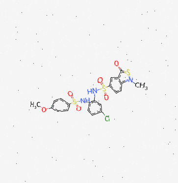 COc1ccc(S(=O)(=O)Nc2ccc(Cl)cc2NS(=O)(=O)c2ccc3c(c2)c(=O)sn3C)cc1